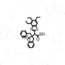 CCc1cc2sc(C(C(=O)S)C(Cc3ccccc3)(Cc3ccccc3)C(=O)O)nc2c(CC)c1CC